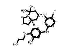 CC1(C)C[C@H](Nc2nc(Nc3ccc(OCCO)c(C(F)(F)F)c3)ncc2F)C[C@@H]2CCCN21